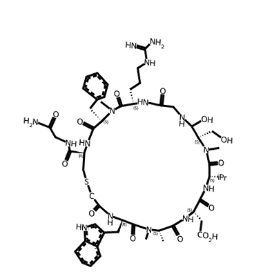 CC(C)[C@@H]1NC(=O)[C@H](CC(=O)O)NC(=O)[C@H](C)N(C)C(=O)[C@@H](Cc2c[nH]c3ccccc23)NC(=O)CSC[C@@H](C(=O)NCC(N)=O)NC(=O)[C@H](Cc2ccccc2)N(C)C(=O)[C@H](CCCNC(=N)N)NC(=O)CNC(O)[C@H](CO)N(C)C1=O